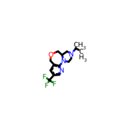 CC(C)N1CCN2c3ncc(C(F)(F)F)cc3COCC2C1